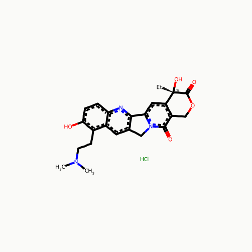 CC[C@@]1(O)C(=O)OCc2c1cc1n(c2=O)Cc2cc3c(CCN(C)C)c(O)ccc3nc2-1.Cl